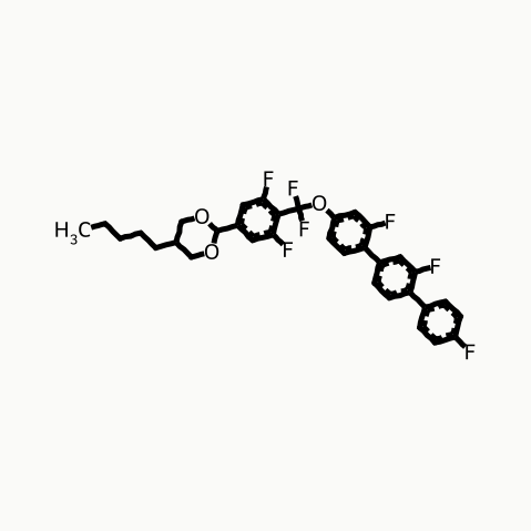 CCCCCC1COC(c2cc(F)c(C(F)(F)Oc3ccc(-c4ccc(-c5ccc(F)cc5)c(F)c4)c(F)c3)c(F)c2)OC1